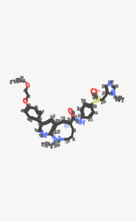 CCCCOCCOc1ccc(-c2cnc3c(c2)/C=C(/C(=O)Nc2ccc([S@@+]([O-])Cc4cncn4CCC)cc2)CCCN3CCC)cc1